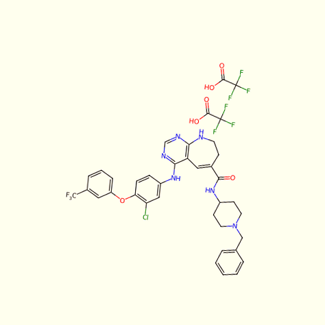 O=C(NC1CCN(Cc2ccccc2)CC1)C1=Cc2c(ncnc2Nc2ccc(Oc3cccc(C(F)(F)F)c3)c(Cl)c2)NCC1.O=C(O)C(F)(F)F.O=C(O)C(F)(F)F